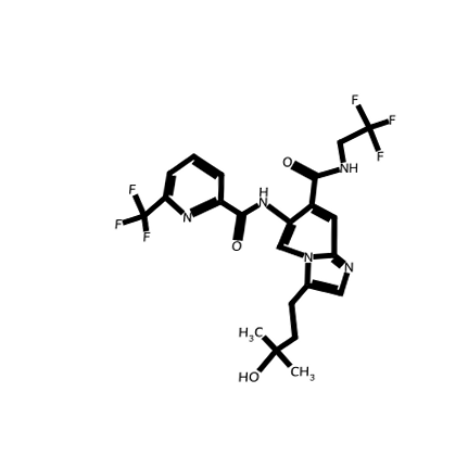 CC(C)(O)CCc1cnc2cc(C(=O)NCC(F)(F)F)c(NC(=O)c3cccc(C(F)(F)F)n3)cn12